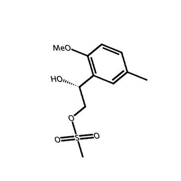 COc1ccc(C)cc1[C@@H](O)COS(C)(=O)=O